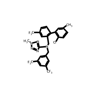 Cc1ccc(Cl)c(-c2ccc(C(F)(F)F)cc2CN(Cc2cc(C(F)(F)F)cc(C(F)(F)F)c2)c2nnn(C)n2)c1